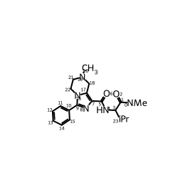 CNC(=O)C(NC(=O)c1nc(-c2ccccc2)n2c1CN(C)CC2)C(C)C